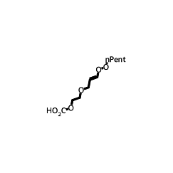 CCCCCOOC=CCOCCOC(=O)O